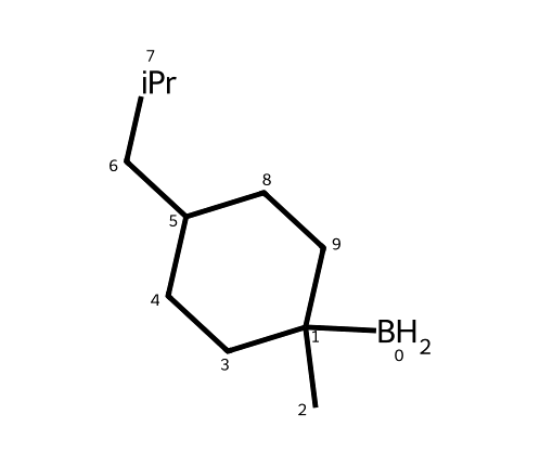 BC1(C)CCC(CC(C)C)CC1